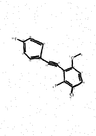 COc1ccc(Cl)c(F)c1C#Cc1ccc(F)cc1